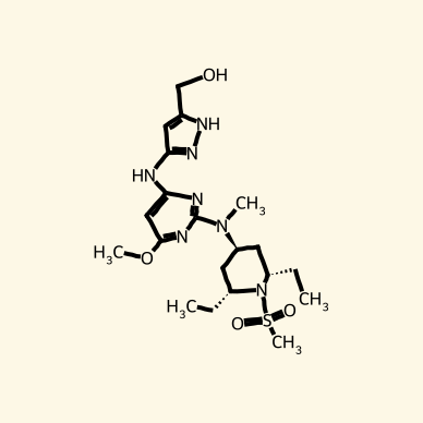 CC[C@@H]1C[C@@H](N(C)c2nc(Nc3cc(CO)[nH]n3)cc(OC)n2)C[C@H](CC)N1S(C)(=O)=O